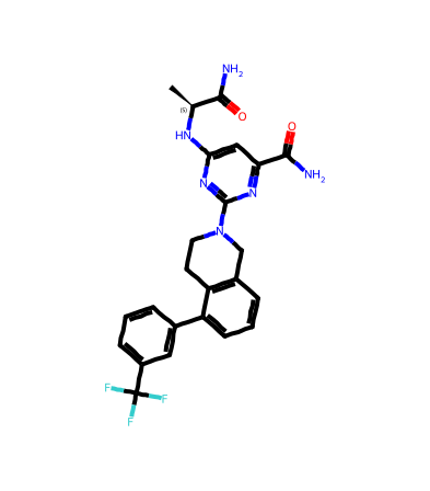 C[C@H](Nc1cc(C(N)=O)nc(N2CCc3c(cccc3-c3cccc(C(F)(F)F)c3)C2)n1)C(N)=O